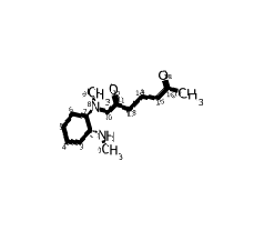 CN[C@@H]1CCCC[C@H]1N(C)CC(=O)CCCC(C)=O